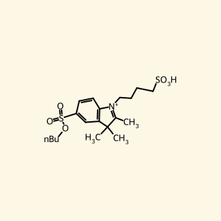 CCCCOS(=O)(=O)c1ccc2c(c1)C(C)(C)C(C)=[N+]2CCCCS(=O)(=O)O